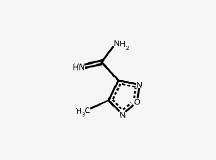 Cc1nonc1C(=N)N